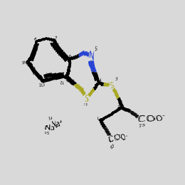 O=C([O-])CC(Sc1nc2ccccc2s1)C(=O)[O-].[Na+].[Na+]